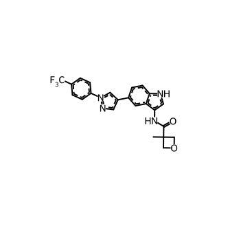 CC1(C(=O)Nc2c[nH]c3ccc(-c4cnn(-c5ccc(C(F)(F)F)cc5)c4)cc23)COC1